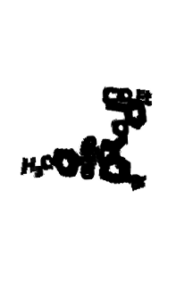 CCOC(=O)Cc1ccccc1OCc1cn(S(=O)(=O)c2ccc(C)cc2)c2ccc(Br)cc12